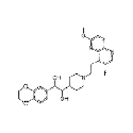 COc1ccc2ncc(F)c(CCN3CCC(C(O)C(O)c4ccc5c(c4)OCCO5)CC3)c2n1